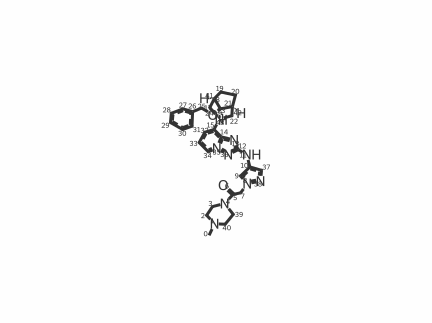 CN1CCN(C(=O)Cn2cc(Nc3nc4c(N5C[C@H]6CC[C@@H](C5)[C@H]6OCc5ccccc5)cccn4n3)cn2)CC1